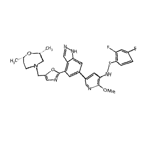 COc1ncc(-c2cc(-c3ncc(CN4C[C@@H](C)O[C@@H](C)C4)o3)c3cn[nH]c3c2)cc1NSc1ccc(F)cc1F